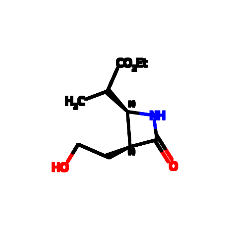 CCOC(=O)C(C)[C@H]1NC(=O)[C@H]1CCO